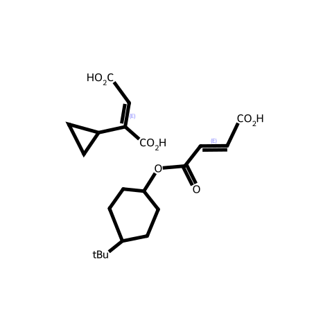 CC(C)(C)C1CCC(OC(=O)/C=C/C(=O)O)CC1.O=C(O)/C=C(/C(=O)O)C1CC1